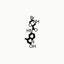 Cc1cc(O)nc2ccc(NC(=O)C3CNC(Br)CO3)cc12